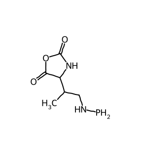 CC(CNP)C1NC(=O)OC1=O